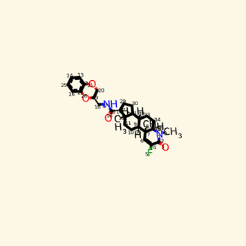 CN1C(=O)C(F)=C[C@]2(C)[C@H]3CC[C@]4(C)[C@@H](C(=O)NC[C@@H]5COc6ccccc6O5)CC[C@H]4[C@@H]3CC[C@@H]12